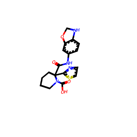 O=C(O)N1CCCCC1(C(=O)Nc1ccc2c(c1)OCN2)c1nccs1